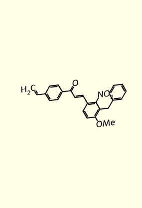 C=Cc1ccc(C(=O)C=Cc2ccc(OC)c(Cc3ccccc3)c2[N+](=O)[O-])cc1